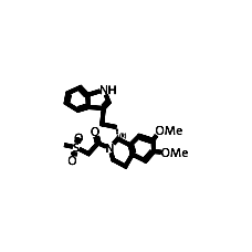 COc1cc2c(cc1OC)[C@@H](CCc1c[nH]c3ccccc13)N(C(=O)CS(C)(=O)=O)CC2